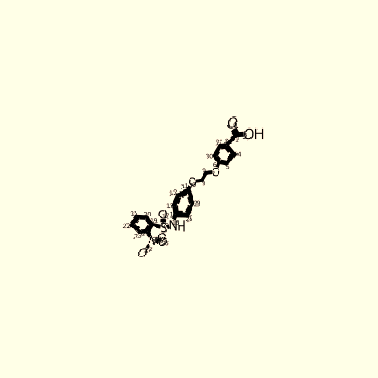 O=C(O)c1ccc(OCCOc2ccc(NS(=O)(=O)c3ccccc3[N+](=O)[O-])cc2)cc1